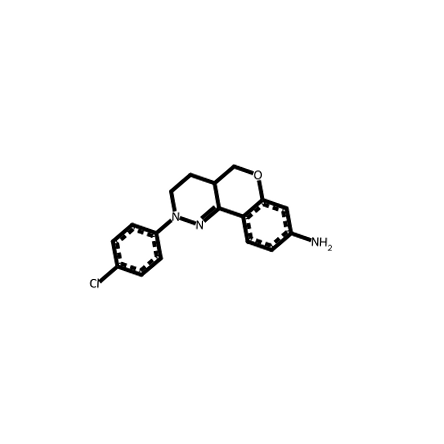 Nc1ccc2c(c1)OCC1CCN(c3ccc(Cl)cc3)N=C21